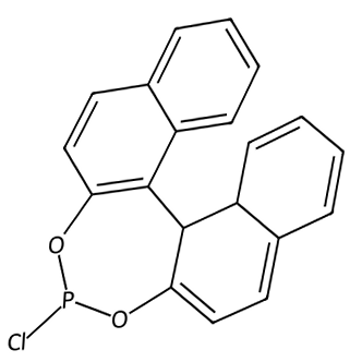 ClP1OC2=CC=C3C=CC=CC3C2c2c(ccc3ccccc23)O1